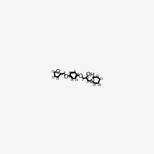 OC(COc1ccc(OCC2CCCO2)cc1)CN1CCCCC1